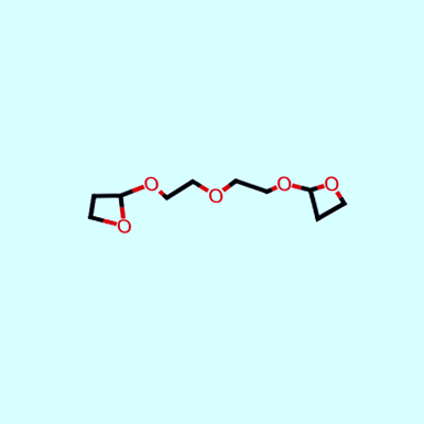 C(COC1CCO1)OCCOC1CCO1